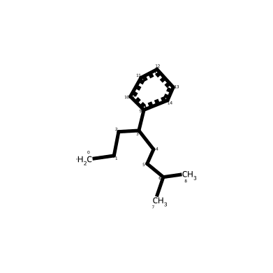 [CH2]CCC(CCC(C)C)c1ccccc1